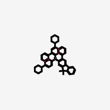 CC1(C)c2ccccc2-c2cc(-c3ccccc3)c(N(c3ccc(C4CCCCC4)cc3)c3ccc(C4CCCCC4)cc3-c3ccccc3)cc21